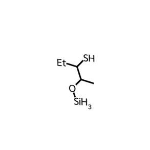 CCC(S)C(C)O[SiH3]